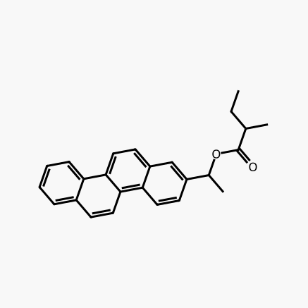 CCC(C)C(=O)OC(C)c1ccc2c(ccc3c4ccccc4ccc23)c1